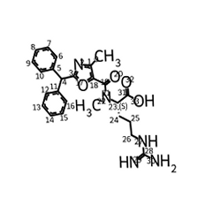 Cc1nc(C(c2ccccc2)c2ccccc2)oc1C(=O)N(C)[C@@H](CCCNC(=N)N)C(=O)O